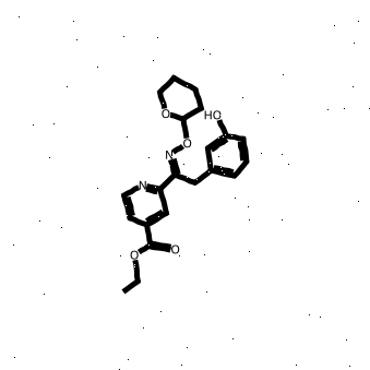 CCOC(=O)c1ccnc(/C(Cc2cccc(O)c2)=N/OC2CCCCO2)c1